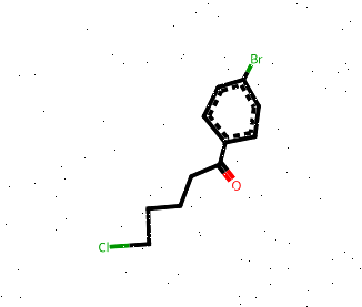 O=C(CCCCCl)c1ccc(Br)cc1